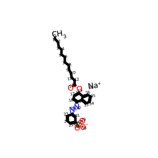 CCCCCCCCCCCCCC(=O)Oc1ccc(/N=N/c2cccc(S(=O)(=O)[O-])c2)c2ccccc12.[Na+]